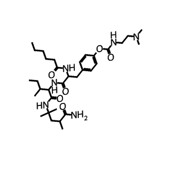 CCCCCC(=O)NC(Cc1ccc(OC(=O)NCCN(C)C)cc1)C(=O)NC(C(=O)NC(C)(C)CC(C)C(N)=O)C(C)CC